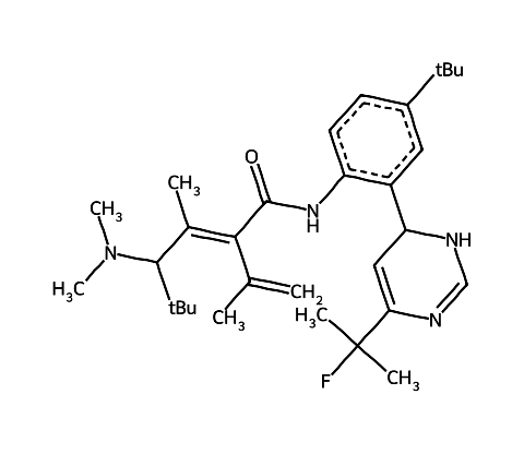 C=C(C)/C(C(=O)Nc1ccc(C(C)(C)C)cc1C1C=C(C(C)(C)F)N=CN1)=C(/C)C(N(C)C)C(C)(C)C